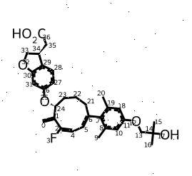 C=C1/C(F)=C\C=C(\c2c(C)cc(OCC(C)(C)O)cc2C)CCC[C@H]1Oc1ccc2c(c1)OC[C@H]2CC(=O)O